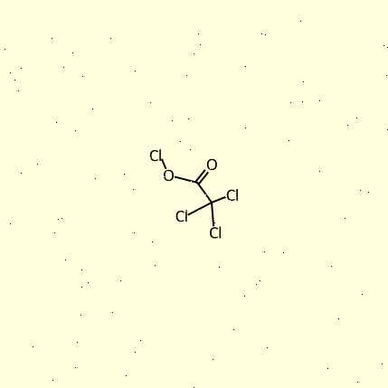 O=C(OCl)C(Cl)(Cl)Cl